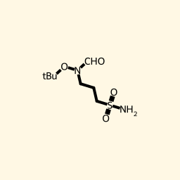 CC(C)(C)ON(C=O)CCCS(N)(=O)=O